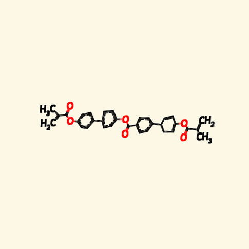 C=C(C)C(=O)OC1=CCC(c2ccc(C(=O)Oc3ccc(-c4ccc(OC(=O)C(=C)C)cc4)cc3)cc2)C=C1